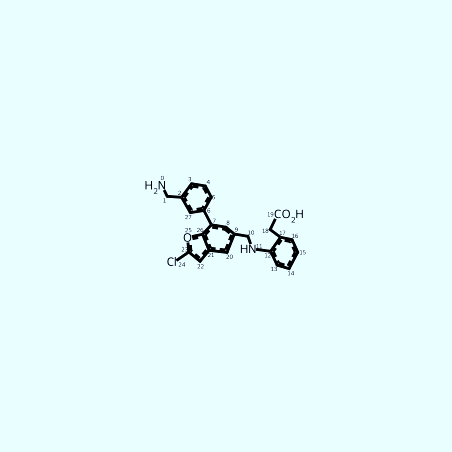 NCc1cccc(-c2cc(CNc3ccccc3CC(=O)O)cc3cc(Cl)oc23)c1